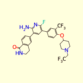 Nc1nc(F)c(-c2ccc(OC3CCN(CC(F)(F)F)CC3)c(C(F)(F)F)c2)cc1-c1ccc2c(c1)CCNC2=O